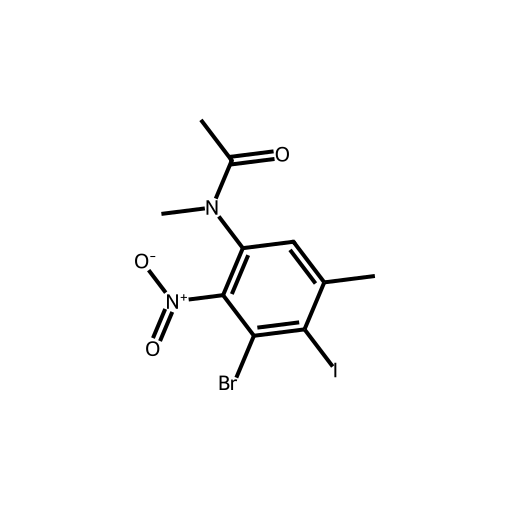 CC(=O)N(C)c1cc(C)c(I)c(Br)c1[N+](=O)[O-]